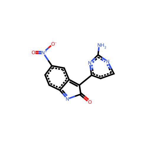 Nc1nccc(C2=c3cc([N+](=O)[O-])ccc3=NC2=O)n1